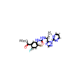 COC(=O)c1cc(NC(=O)N[C@@H](C)c2ncnn2-c2ncccn2)c(Br)cc1F